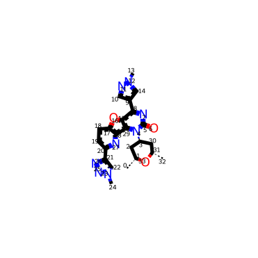 C[C@@H]1C[C@H](n2c(=O)nc(-c3cnn(C)c3)c3oc4ccc(-c5cn(C)nn5)nc4c32)C[C@H](C)O1